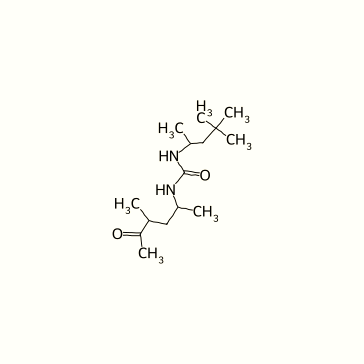 CC(=O)C(C)CC(C)NC(=O)NC(C)CC(C)(C)C